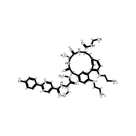 C[C@@H]1NC(=O)[C@@H](N(C)C(=O)[C@H](CO)NC(=O)c2cnc(-c3ccc(Cl)cc3)nc2)c2ccc(OCCN)c(c2)-c2cc(ccc2OCCN)C[C@@H](C(=O)NCC#N)NC1=O